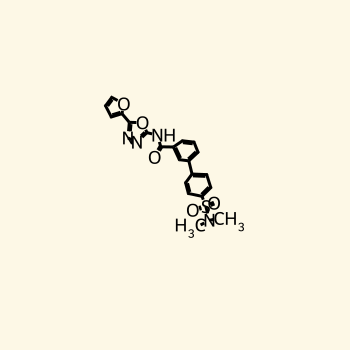 CN(C)S(=O)(=O)c1ccc(-c2cccc(C(=O)Nc3nnc(-c4ccco4)o3)c2)cc1